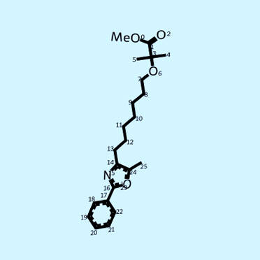 COC(=O)C(C)(C)OCCCCCCCc1nc(-c2ccccc2)oc1C